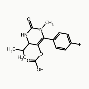 CC(C)C1NC(=O)N(C)C(c2ccc(F)cc2)=C1OC(=O)O